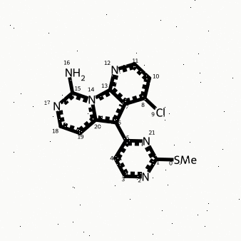 CSc1nccc(-c2c3c(Cl)ccnc3n3c(N)nccc23)n1